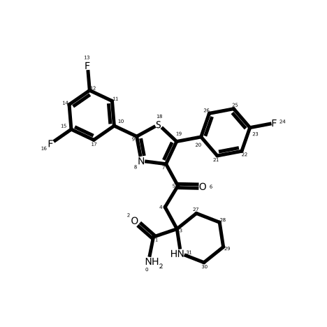 NC(=O)C1([CH]C(=O)c2nc(-c3cc(F)cc(F)c3)sc2-c2ccc(F)cc2)CCCCN1